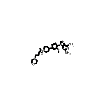 COc1cc(C2CCN(S(=O)(=O)CCCN3CCOCC3)CC2)ccc1-n1cnc2c(N)nc(N)nc21